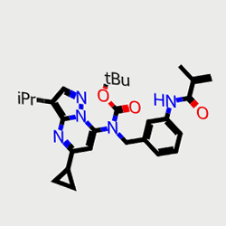 C=C(C)C(=O)Nc1cccc(CN(C(=O)OC(C)(C)C)c2cc(C3CC3)nc3c(C(C)C)cnn23)c1